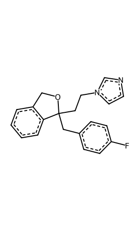 Fc1ccc(CC2(CCn3ccnc3)OCc3ccccc32)cc1